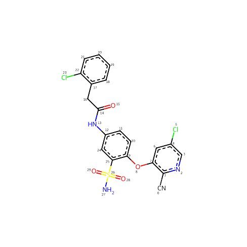 N#Cc1ncc(Cl)cc1Oc1ccc(NC(=O)Cc2ccccc2Cl)cc1S(N)(=O)=O